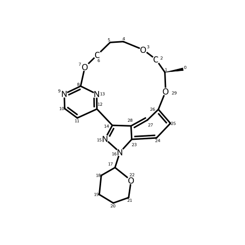 C[C@@H]1COCCCOc2nccc(n2)-c2nn(C3CCCCO3)c3ccc(cc23)O1